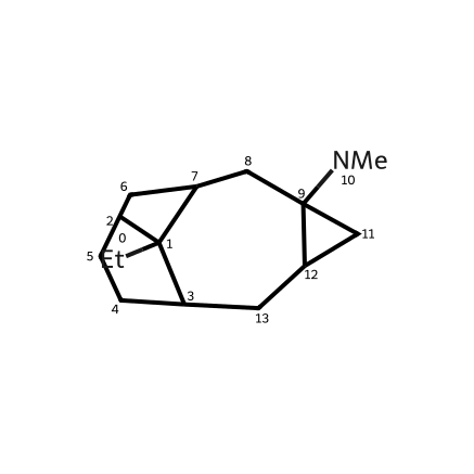 CCC1(C)C2CCCC1CC1(NC)CC1C2